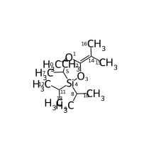 COC(O[Si](C(C)C)(C(C)C)C(C)C)=C(C)C